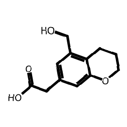 O=C(O)Cc1cc(CO)c2c(c1)OCCC2